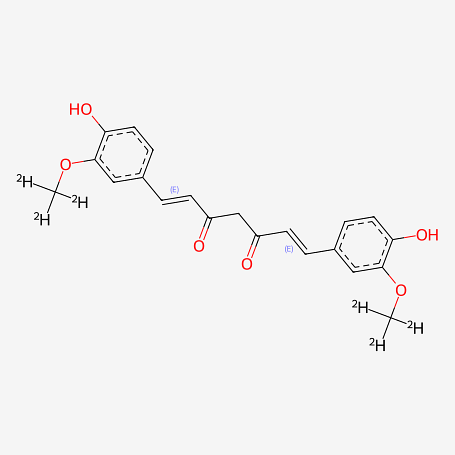 [2H]C([2H])([2H])Oc1cc(/C=C/C(=O)CC(=O)/C=C/c2ccc(O)c(OC([2H])([2H])[2H])c2)ccc1O